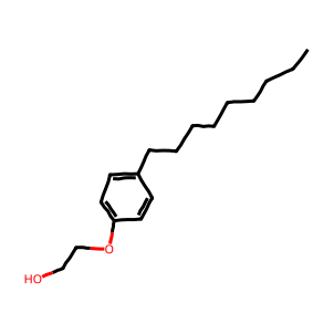 CCCCCCCCCc1ccc(OCCO)cc1